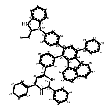 CCC1Nc2ccccc2N1c1ccc(-c2cc(-c3ccccc3)c3c(c2-c2cccc(C4=CC(C5=CCCC=C5)NC(c5ccccc5)N4)c2)-c2cccc4cccc-3c24)cc1